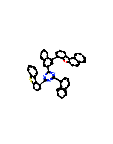 c1ccc2c(-c3nc(-c4cc(-c5cccc6c5oc5ccc7ccccc7c56)c5ccccc5c4)nc(-c4cccc5sc6ccccc6c45)n3)cccc2c1